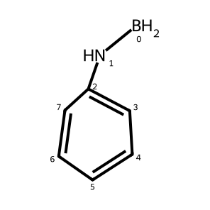 BNc1ccccc1